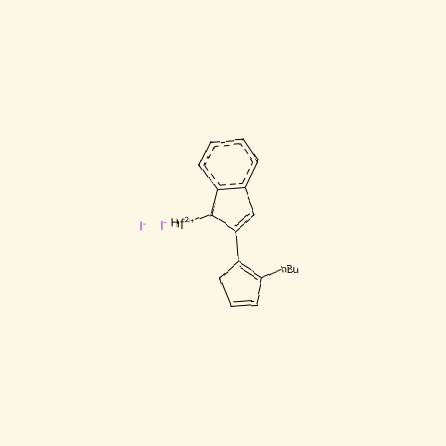 CCCCC1=C(C2=Cc3ccccc3[CH]2[Hf+2])CC=C1.[I-].[I-]